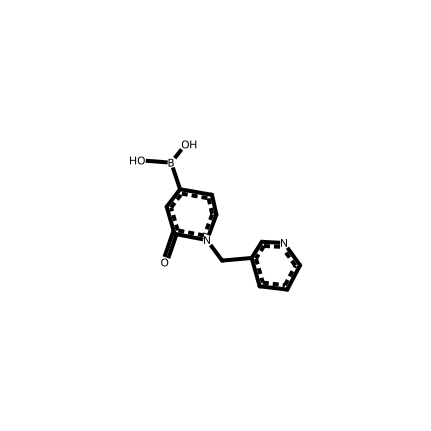 O=c1cc(B(O)O)ccn1Cc1cccnc1